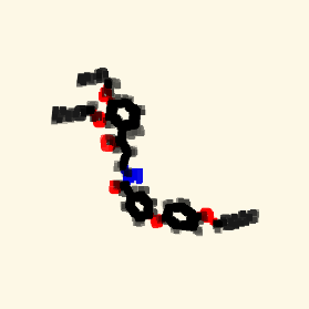 COCOc1ccc(Oc2ccc(C(=O)NCCC(=O)c3cccc(OCOC)c3OCOC)cc2)cc1